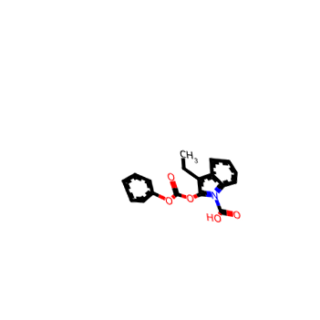 CCc1c(OC(=O)Oc2ccccc2)n(C(=O)O)c2ccccc12